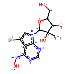 CC1(O)C(O)C(CO)OC1n1cc(Br)c2c(NO)ncnc21